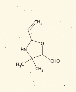 C=CC1NC(C)(C)C(C=O)O1